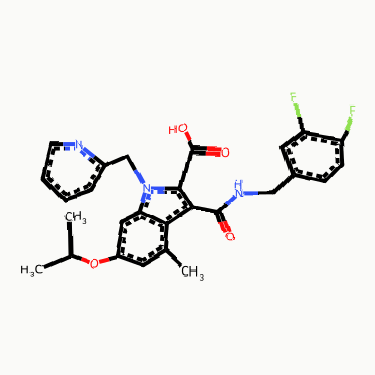 Cc1cc(OC(C)C)cc2c1c(C(=O)NCc1ccc(F)c(F)c1)c(C(=O)O)n2Cc1ccccn1